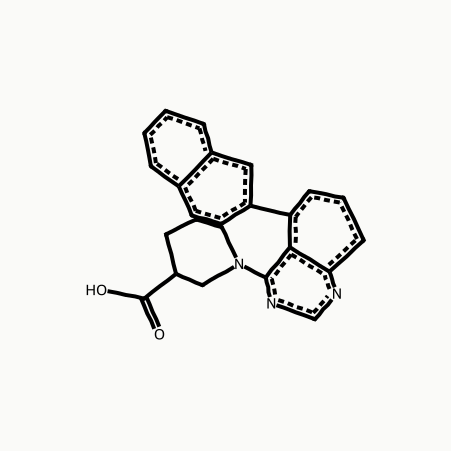 O=C(O)C1CCCN(c2ncnc3cccc(-c4ccc5ccccc5c4)c23)C1